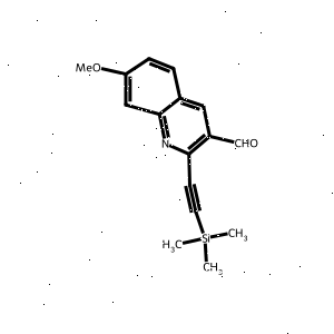 COc1ccc2cc(C=O)c(C#C[Si](C)(C)C)nc2c1